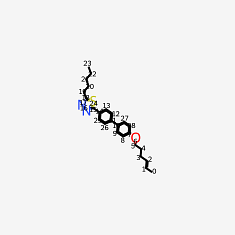 CC=CCCCOc1ccc(-c2ccc(-c3nnc(CCCCC)s3)cc2)cc1